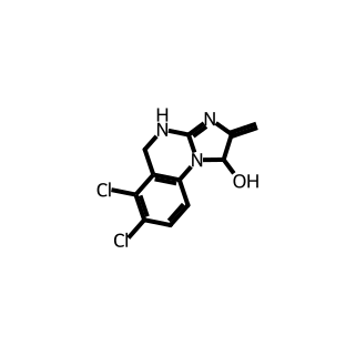 C=C1N=C2NCc3c(ccc(Cl)c3Cl)N2C1O